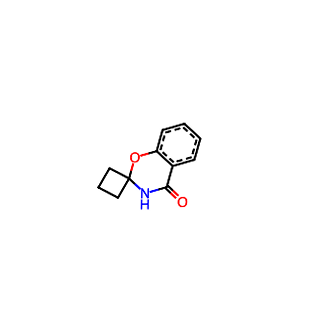 O=C1NC2(CCC2)Oc2ccccc21